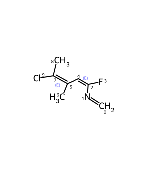 C=N/C(F)=C\C(C)=C(/C)Cl